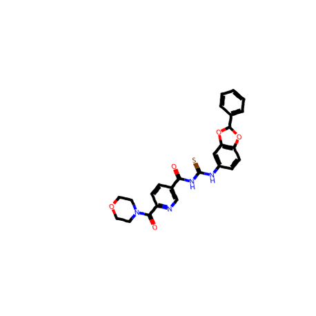 O=C(NC(=S)Nc1ccc2c(c1)OC(c1ccccc1)O2)c1ccc(C(=O)N2CCOCC2)nc1